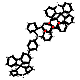 c1ccc(-c2ccc(-c3ccccc3N(c3ccc(-c4ccc5c(c4)-c4ccccc4C54c5ccccc5Oc5ccccc54)cc3)c3cccc(-c4ccc5c(c4)-c4ccccc4C54c5ccccc5Oc5ccccc54)c3)cc2)cc1